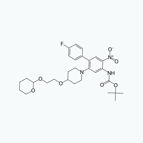 CC(C)(C)OC(=O)Nc1cc(N2CCC(OCCOC3CCCCO3)CC2)c(-c2ccc(F)cc2)cc1[N+](=O)[O-]